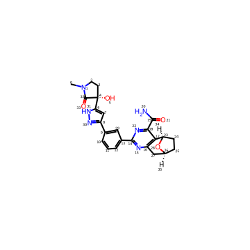 CN1CC[C@@](O)(c2cc(-c3cccc(-c4nc5c(c(C(N)=O)n4)[C@H]4CC[C@@H](C5)O4)c3)n[nH]2)C1=O